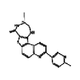 C=C1N[C@H](C)CNc2c1sc1ccc3nc(-c4ccc(C)nc4)ccc3c21